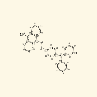 Clc1c2ccccc2c(C=Cc2ccc(N(c3ccccc3)c3ccccc3)cc2)c2ccccc12